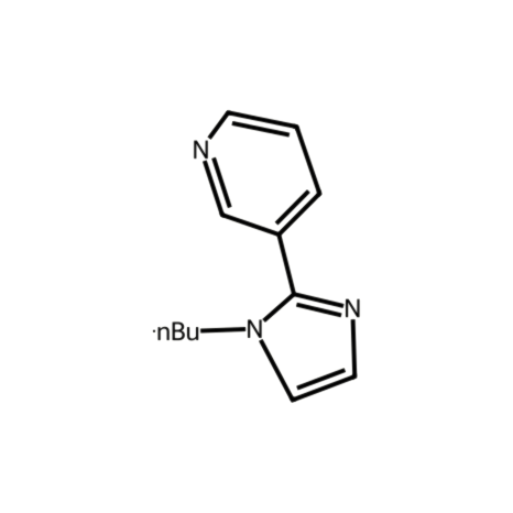 CCC[CH]n1ccnc1-c1cccnc1